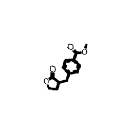 COC(=O)c1ccc(CC2CCOC2=O)cc1